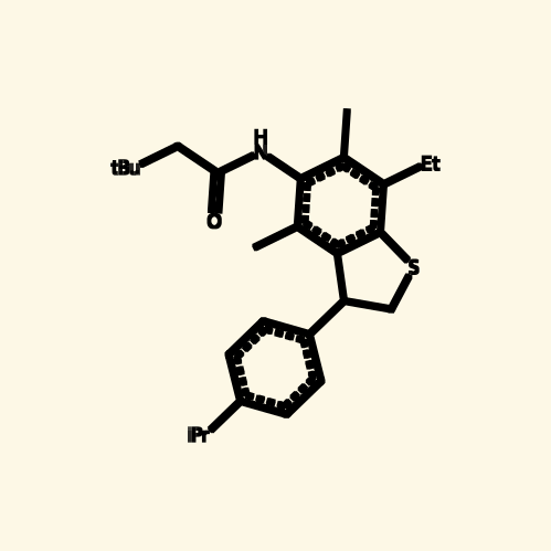 CCc1c(C)c(NC(=O)CC(C)(C)C)c(C)c2c1SCC2c1ccc(C(C)C)cc1